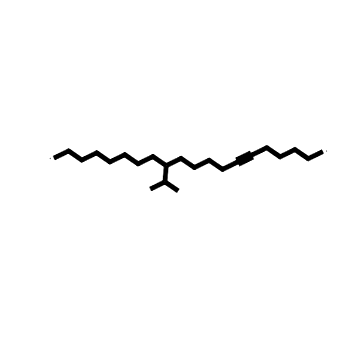 [CH2]CCCCC#CCCCCC(CCCCCCC[CH2])C(C)C